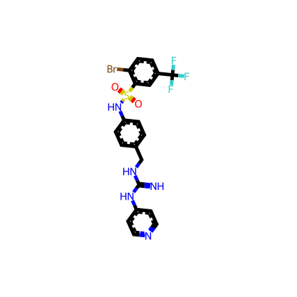 N=C(NCc1ccc(NS(=O)(=O)c2cc(C(F)(F)F)ccc2Br)cc1)Nc1ccncc1